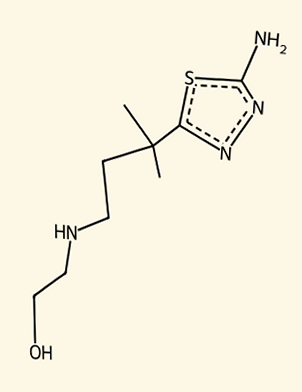 CC(C)(CCNCCO)c1nnc(N)s1